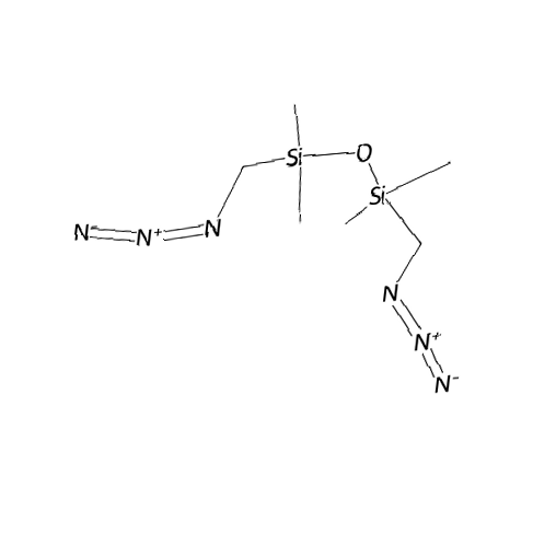 C[Si](C)(CN=[N+]=[N-])O[Si](C)(C)CN=[N+]=[N-]